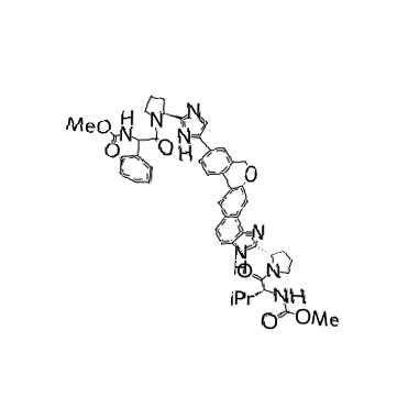 COC(=O)NC(C(=O)N1CCC[C@H]1c1ncc(-c2ccc3c(c2)COc2cc4c(ccc5[nH]c([C@@H]6CCCN6C(=O)[C@@H](NC(=O)OC)C(C)C)nc54)cc2-3)[nH]1)c1ccccc1